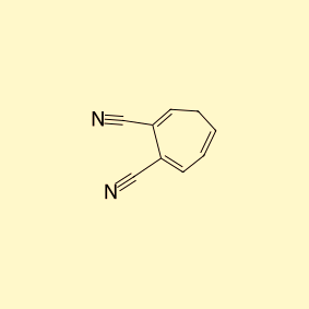 N#CC1=CC=CCC=C1C#N